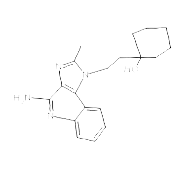 Cc1nc2c(N)nc3ccccc3c2n1CCC1(O)CCCCC1